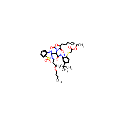 CCCCOCCCN1C(C(C(=O)Nc2cc(C(C)(C)C)ccc2SCC(=O)OCC)N2C(=O)OC(CCCC)C2=O)=Nc2ccccc2S1(=O)=O